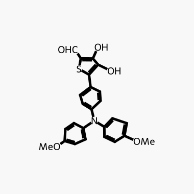 COc1ccc(N(c2ccc(OC)cc2)c2ccc(-c3sc(C=O)c(O)c3O)cc2)cc1